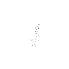 CC(O[Si](C(C)C)(C(C)C)C(C)C)C(=O)NNC(=O)c1ncc(S(=O)(=O)c2ccc(OC(F)(F)F)cc2)cc1N